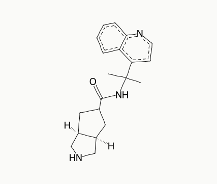 CC(C)(NC(=O)C1C[C@H]2CNC[C@H]2C1)c1ccnc2ccccc12